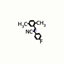 Cc1ccc(C)c(/C=C(\C#N)c2ccc(F)cc2)c1